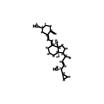 C=C1CC[C@H](O)C/C1=C/C=C1\CCC[C@]2(C)C(C(C)/C=C/[C@@H](O)C3CC3)CC[C@@H]12